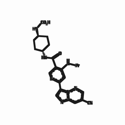 CC(C)Nc1cc(-c2cnc3cc(C#N)cnn23)ncc1C(=O)N[C@H]1CC[C@H](NC(=O)O)CC1